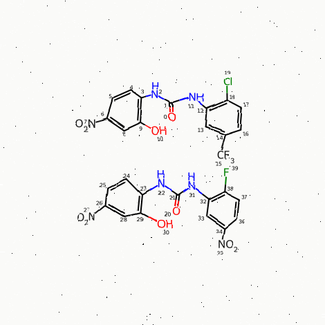 O=C(Nc1ccc([N+](=O)[O-])cc1O)Nc1cc(C(F)(F)F)ccc1Cl.O=C(Nc1ccc([N+](=O)[O-])cc1O)Nc1cc([N+](=O)[O-])ccc1F